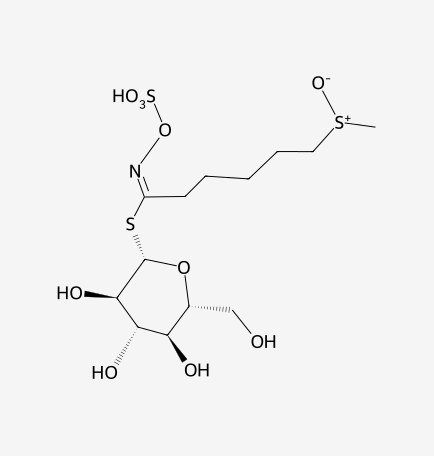 C[S+]([O-])CCCCC/C(=N\OS(=O)(=O)O)S[C@@H]1O[C@H](CO)[C@@H](O)[C@H](O)[C@H]1O